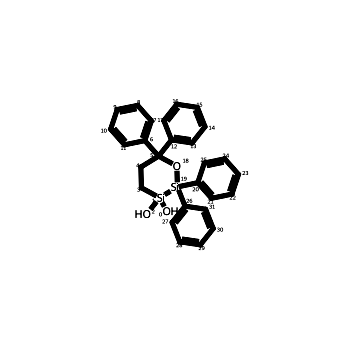 O[Si]1(O)CCC(c2ccccc2)(c2ccccc2)O[Si]1(c1ccccc1)c1ccccc1